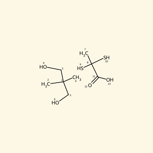 CC(C)(CO)CO.CC(S)(S)C(=O)O